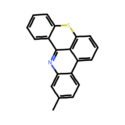 Cc1ccc2c(c1)nc1c3c(cccc32)Sc2ccccc2-1